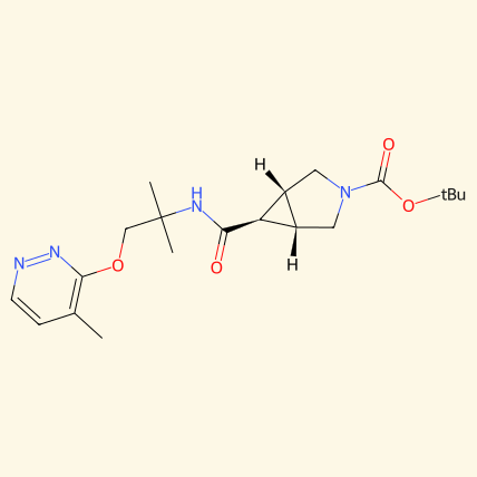 Cc1ccnnc1OCC(C)(C)NC(=O)[C@H]1[C@@H]2CN(C(=O)OC(C)(C)C)C[C@@H]21